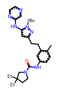 CCC1(CC)CCN(C(=O)Nc2ccc(C)c(CCc3cc(Nc4cnccn4)n(C(C)(C)C)n3)c2)C1